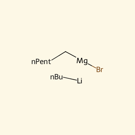 CCCCC[CH2][Mg][Br].[Li][CH2]CCC